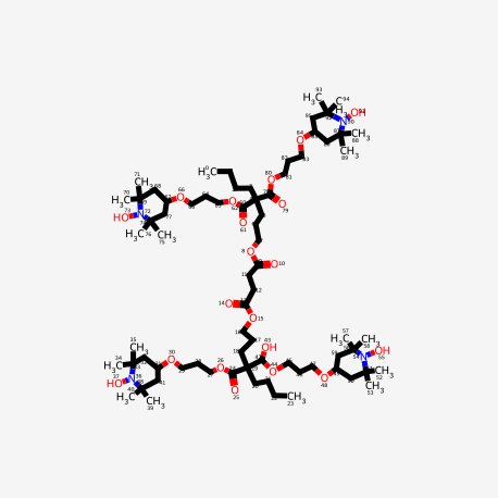 CCCCC(CCCOC(=O)CCC(=O)OCCCC(CCCC)(C(=O)OCCCOC1CC(C)(C)N(O)C(C)(C)C1)C(O)OCCCOC1CC(C)(C)N(O)C(C)(C)C1)(C(=O)OCCCOC1CC(C)(C)N(O)C(C)(C)C1)C(=O)OCCCOC1CC(C)(C)N(O)C(C)(C)C1